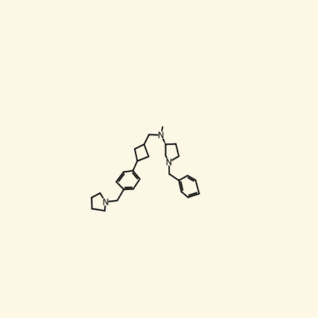 CN(CC1CC(c2ccc(CN3CCCC3)cc2)C1)[C@H]1CCN(Cc2ccccc2)C1